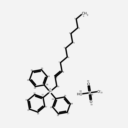 CCCCCCCCC=CC[P+](c1ccccc1)(c1ccccc1)c1ccccc1.O=S(=O)([O-])O